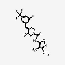 Cc1noc(NC(=O)N2CC/C(=C\c3cc(F)cc(C(F)(F)F)c3)C(C)C2)c1C